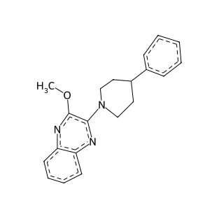 COc1nc2ccccc2nc1N1CCC(c2ccccc2)CC1